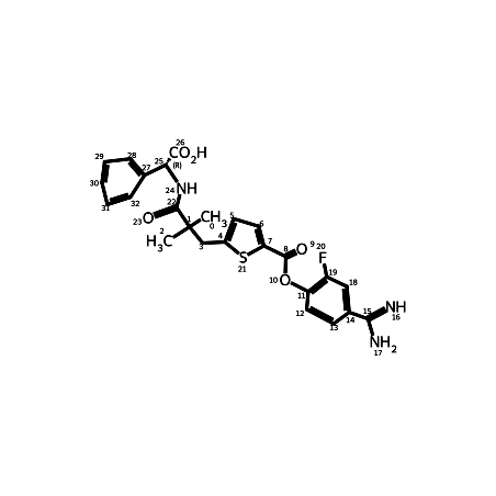 CC(C)(Cc1ccc(C(=O)Oc2ccc(C(=N)N)cc2F)s1)C(=O)N[C@@H](C(=O)O)c1ccccc1